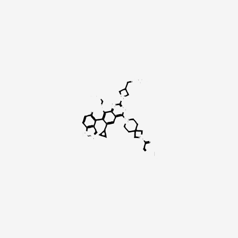 C=CC(=O)N1CC2(CCN(c3nc(N4CC(COC)C4)nc4c(OCC(F)(F)F)c(-c5c(C)ccc6[nH]ncc56)c(C5CC5)cc34)CC2)C1